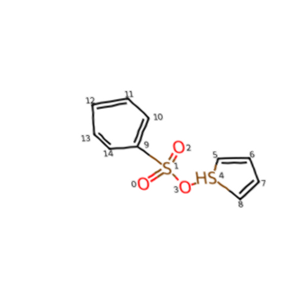 O=S(=O)(O[SH]1C=CC=C1)c1ccccc1